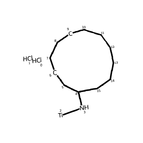 Cl.Cl.[Ti][NH]C1CCCCCCCCCCC1